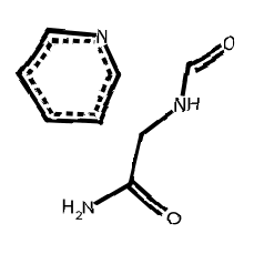 NC(=O)CNC=O.c1ccncc1